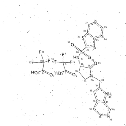 O=C(O)C(F)(F)F.O=C(O)C(F)(F)F.O=C1[C@@H](NS(=O)(=O)c2cc3ncccc3s2)CCN1Cc1cc2ccncc2[nH]1